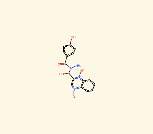 NN(C(=O)c1ccc(O)cc1)C(O)c1c[n+]([O-])c2ccccc2[n+]1[O-]